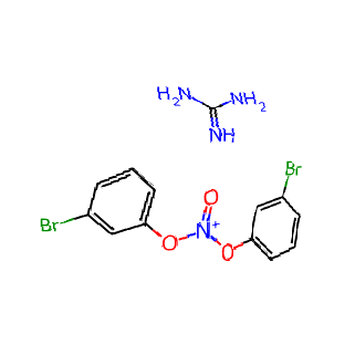 N=C(N)N.O=[N+](Oc1cccc(Br)c1)Oc1cccc(Br)c1